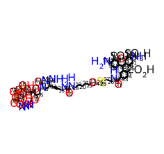 [N-]=[N+]=NCO[C@H]1CC(N2CC(C#CCNC(=O)NCCCCCOCSSCCNC(=O)c3ccc(C(=O)O)c(-c4c5ccc(=N)c(S(=O)(=O)O)c-5oc5c(S(=O)(=O)O)c(N)ccc45)c3)C(N)=NC2=O)O[C@@H]1COP(=O)(O)OP(=O)(O)OP(=O)(O)O